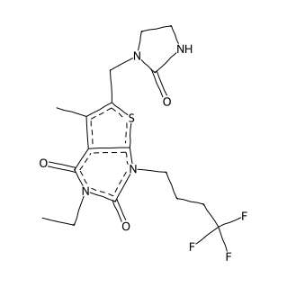 CCn1c(=O)c2c(C)c(CN3CCNC3=O)sc2n(CCCC(F)(F)F)c1=O